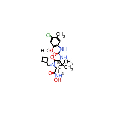 COc1cc(Cl)c(C)cc1NC(=O)N[C@H](C(=O)N(CC(=O)NO)CC1CCC1)C(C)(C)C